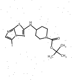 CC(C)(C)OC(=O)N1CCC(Nc2nn3c(I)cnc3s2)CC1